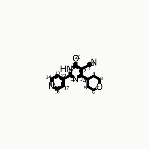 N#Cc1c(C2CCOCC2)nc(-c2ccncc2)[nH]c1=O